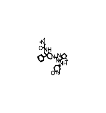 C=S1CCc2nc(N3CCC(CNC(=O)CN(C)C)(c4ccccc4)CC3)nc(N[C@H]3CCC(=O)N(C)C3)c21